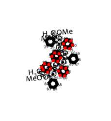 CO[Si](C)(OC)O[Si](O[Si](O[Si](O[Si](O[Si](O[Si](O[Si](C)(OC)OC)(c1ccccc1)c1ccccc1)(c1ccccc1)c1ccccc1)(c1ccccc1)c1ccccc1)(c1ccccc1)c1ccccc1)(c1ccccc1)c1ccccc1)(c1ccccc1)c1ccccc1